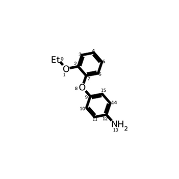 CCOc1ccccc1Oc1ccc(N)cc1